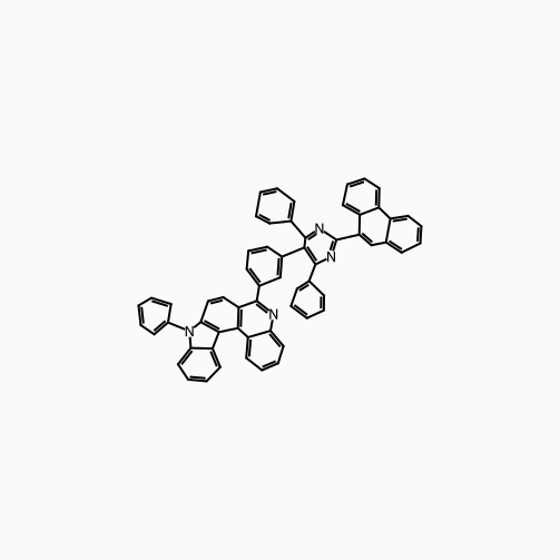 c1ccc(-c2nc(-c3cc4ccccc4c4ccccc34)nc(-c3ccccc3)c2-c2cccc(-c3nc4ccccc4c4c3ccc3c4c4ccccc4n3-c3ccccc3)c2)cc1